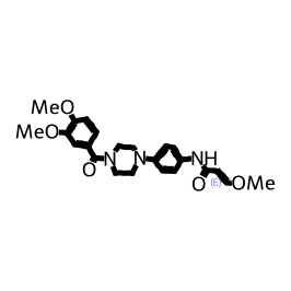 CO/C=C/C(=O)Nc1ccc(N2CCN(C(=O)c3ccc(OC)c(OC)c3)CC2)cc1